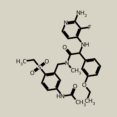 CCOc1cccc(C(Nc2ccnc(N)c2F)C(=O)N(C)Cc2cc(NC(C)=O)ccc2S(=O)(=O)CC)c1